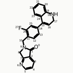 O=C1c2cccnc2CN1Cc1ccc(C2=CCNc3ccccc32)cc1F